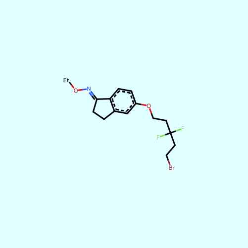 CCO/N=C1\CCc2cc(OCCC(F)(F)CCBr)ccc21